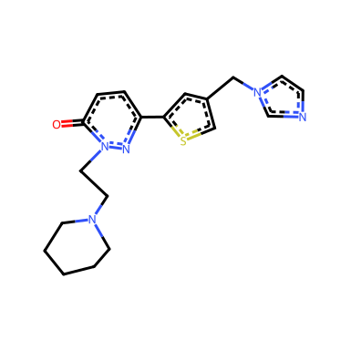 O=c1ccc(-c2cc(Cn3ccnc3)cs2)nn1CCN1CCCCC1